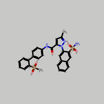 Cc1cc(C(=O)Nc2ccc(-c3ccccc3S(C)(=O)=O)cc2)n(-c2cc3ccccc3cc2S(N)(=O)=O)n1